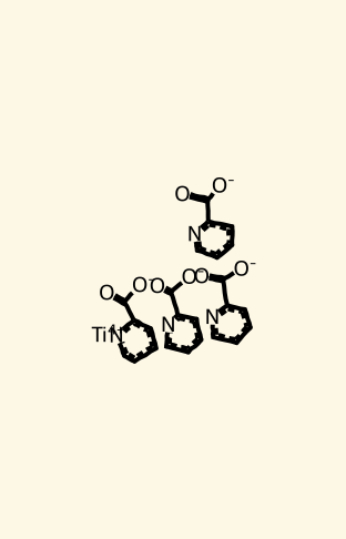 O=C([O-])c1ccccn1.O=C([O-])c1ccccn1.O=C([O-])c1ccccn1.O=C([O-])c1ccccn1.[Ti+4]